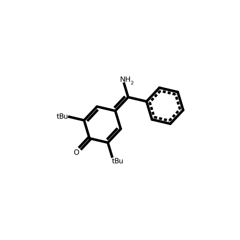 CC(C)(C)C1=CC(=C(N)c2ccccc2)C=C(C(C)(C)C)C1=O